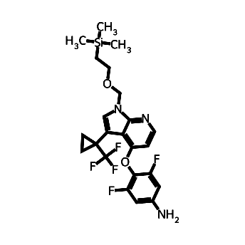 C[Si](C)(C)CCOCn1cc(C2(C(F)(F)F)CC2)c2c(Oc3c(F)cc(N)cc3F)ccnc21